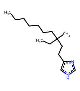 CCCCCCCC(C)(CC)CCc1c[nH]cn1